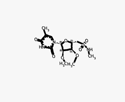 CNS(=O)(=O)C[C@H]1O[C@@H](n2cc(C)c(=O)[nH]c2=O)[C@H](OC)[C@@H]1OC